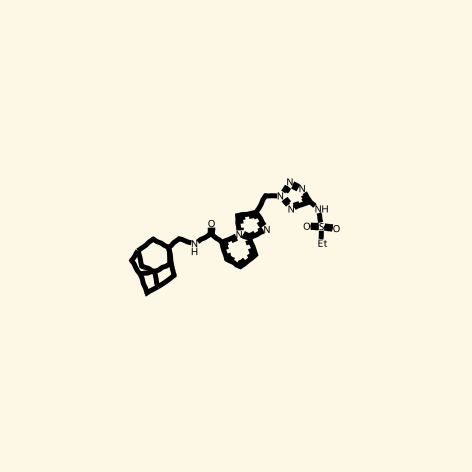 CCS(=O)(=O)Nc1nnn(Cc2cn3c(C(=O)NCC45CC6CC7CC(C4)C7(C6)C5)cccc3n2)n1